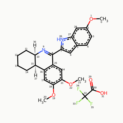 COc1ccc2cc(C3=N[C@@H]4CCCC[C@@H]4c4cc(OC)c(OC)cc43)[nH]c2c1.O=C(O)C(F)(F)F